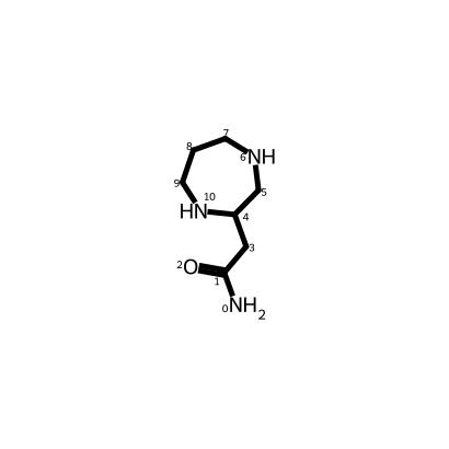 NC(=O)CC1CNCCCN1